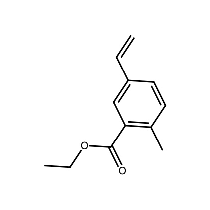 C=Cc1ccc(C)c(C(=O)OCC)c1